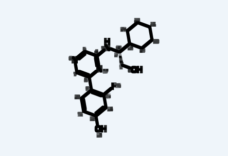 OC[C@H](Nc1cncc(-c2ccc(O)cc2F)n1)C1CCCCC1